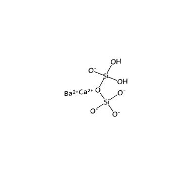 [Ba+2].[Ca+2].[O-][Si]([O-])([O-])O[Si]([O-])(O)O